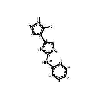 Clc1[nH]ncc1-c1csc(Nc2ccccn2)n1